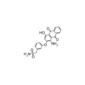 Nc1c(Oc2cccc(CS(N)(=O)=O)c2)cc(O)c2c1C(=O)c1ccccc1C2=O